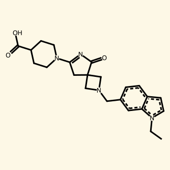 CCn1ccc2ccc(CN3CC4(CC(N5CCC(C(=O)O)CC5)=NC4=O)C3)cc21